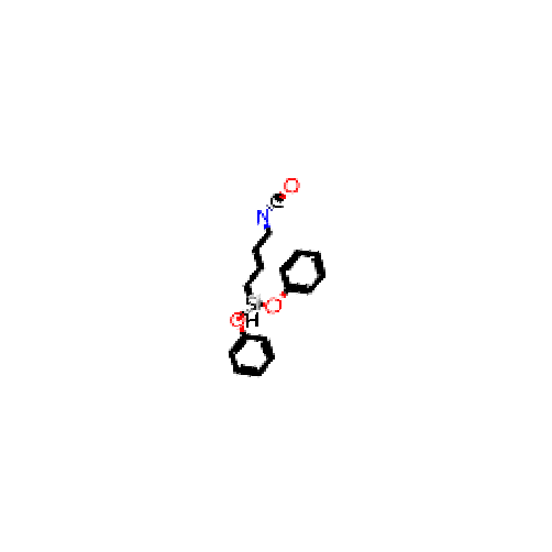 O=C=NCCCC[SiH](Oc1ccccc1)Oc1ccccc1